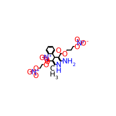 CC1=C(C(=O)OCCO[N+](=O)[O-])C(c2ccccc2[N+](=O)[O-])C(C(=O)OCCCO[N+](=O)[O-])=C(N)N1